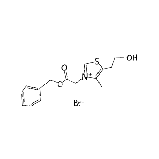 Cc1c(CCO)sc[n+]1CC(=O)OCc1ccccc1.[Br-]